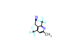 Cc1cc(C(F)(F)F)c(CC#N)c(C(F)(F)F)n1